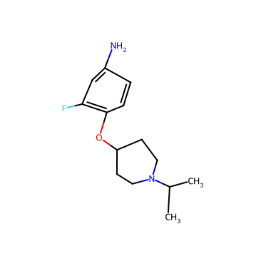 CC(C)N1CCC(Oc2ccc(N)cc2F)CC1